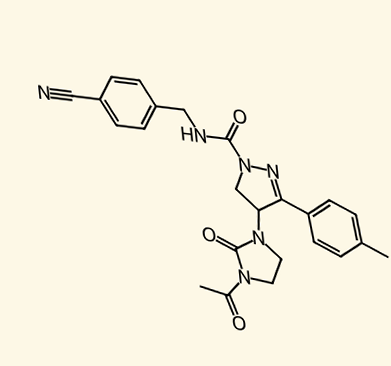 CC(=O)N1CCN(C2CN(C(=O)NCc3ccc(C#N)cc3)N=C2c2ccc(C)cc2)C1=O